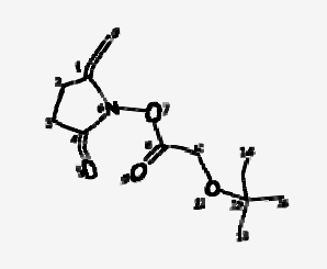 C=C1CCC(=O)N1OC(=O)COC(C)(C)C